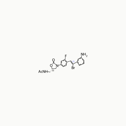 CC(=O)NC[C@H]1CN(c2ccc(/C=C(\Br)c3cccc(N)c3)c(F)c2)C(=O)O1